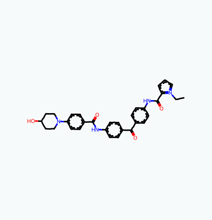 CCn1cccc1C(=O)Nc1ccc(C(=O)c2ccc(NC(=O)c3ccc(N4CCC(O)CC4)cc3)cc2)cc1